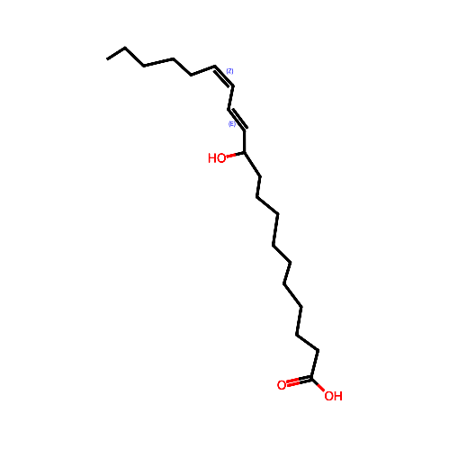 CCCCC/C=C\C=C\C(O)CCCCCCCCCC(=O)O